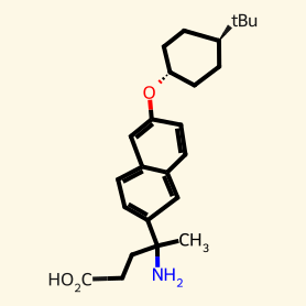 CC(N)(CCC(=O)O)c1ccc2cc(O[C@H]3CC[C@H](C(C)(C)C)CC3)ccc2c1